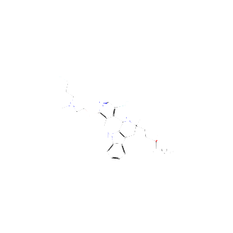 COC(=O)CCC1(C)Cc2c([nH]c3ccccc23)C(c2c(F)cnc(OCCN(C)CCCF)c2C)N1